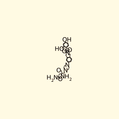 NC(=O)C[C@@](N)(C=O)CN1CCN(c2ccc3c(c2)CN(S(=O)(=O)c2ccc(O)cc2O)C3)CC1